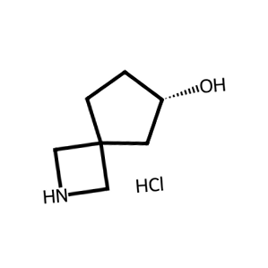 Cl.O[C@H]1CCC2(CNC2)C1